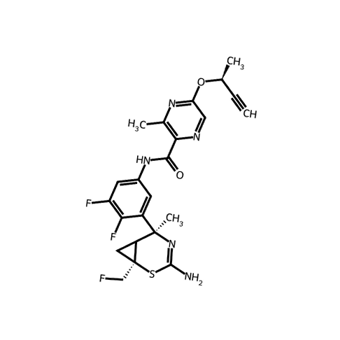 C#C[C@H](C)Oc1cnc(C(=O)Nc2cc(F)c(F)c([C@@]3(C)N=C(N)S[C@@]4(CF)CC43)c2)c(C)n1